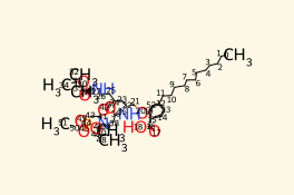 CCCCCCCCCCCCc1ccc(C(=O)O)c(OC[C@H](CCCCNC(=O)OC(C)(C)C)NC(=O)CN(C)C(=O)CP(=O)(OCC)OCC)c1